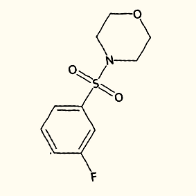 O=S(=O)(c1cc[c]c(F)c1)N1CCOCC1